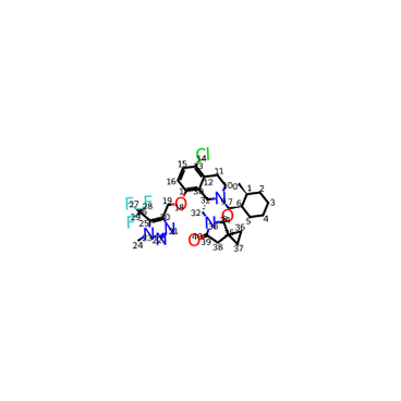 C[C@H]1CCCC[C@H]1C(=O)N1CCc2c(Cl)ccc(OCc3nnn(C)c3C(F)(F)F)c2[C@H]1CN1CC2(CC2)CC1=O